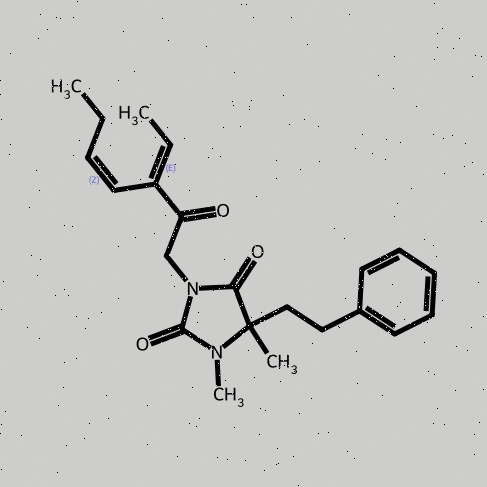 C/C=C(\C=C/CC)C(=O)CN1C(=O)N(C)C(C)(CCc2ccccc2)C1=O